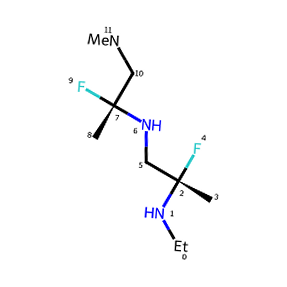 CCN[C@@](C)(F)CN[C@](C)(F)CNC